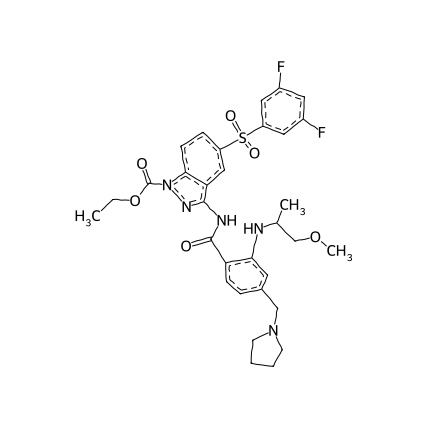 CCOC(=O)n1nc(NC(=O)c2ccc(CN3CCCC3)cc2NC(C)COC)c2cc(S(=O)(=O)c3cc(F)cc(F)c3)ccc21